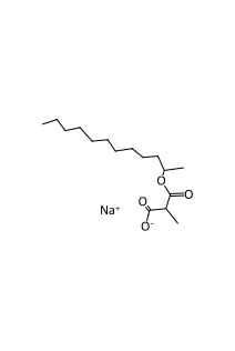 CCCCCCCCCCC(C)OC(=O)C(C)C(=O)[O-].[Na+]